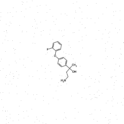 CC(O)(CCN)c1ccc(Oc2ccccc2F)cc1